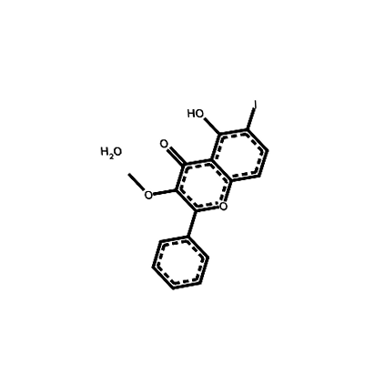 COc1c(-c2ccccc2)oc2ccc(I)c(O)c2c1=O.O